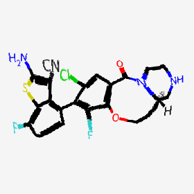 N#Cc1c(N)sc2c(F)ccc(-c3c(Cl)cc4c(c3F)OCC[C@H]3CNCCN3C4=O)c12